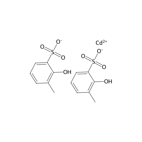 Cc1cccc(S(=O)(=O)[O-])c1O.Cc1cccc(S(=O)(=O)[O-])c1O.[Cd+2]